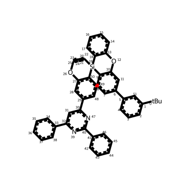 CC(C)(C)c1cccc(-c2ccc3c(c2)Oc2ccccc2[Si]32c3ccccc3Oc3cc(-c4cc(-c5ccccc5)nc(-c5ccccc5)n4)ccc32)c1